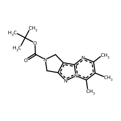 Cc1nc2c3c(nn2c(C)c1C)CN(C(=O)OC(C)(C)C)C3